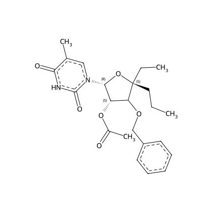 CCC[C@]1(CC)O[C@@H](n2cc(C)c(=O)[nH]c2=O)[C@@H](OC(C)=O)C1OCc1ccccc1